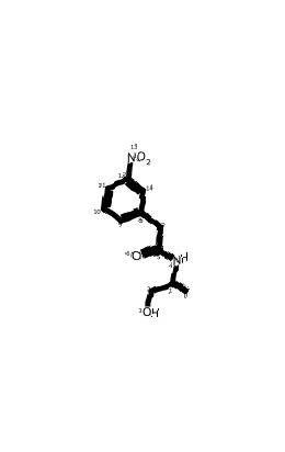 CC(CO)NC(=O)Cc1cccc([N+](=O)[O-])c1